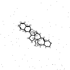 CC[C@]12CCC3CCCCC3=CC1CCC1(C)C(c3ccc4ccncc4c3)CCC12